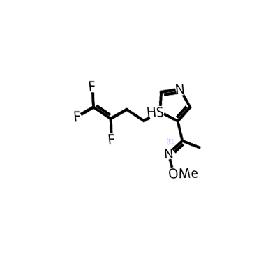 CO/N=C(\C)C1=CN=C[SH]1CCC(F)=C(F)F